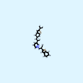 CC(C)c1cc2c(s1)CC(CC(C)c1ccc[n+](CC(C)c3cc4ccccc4s3)c1)C2